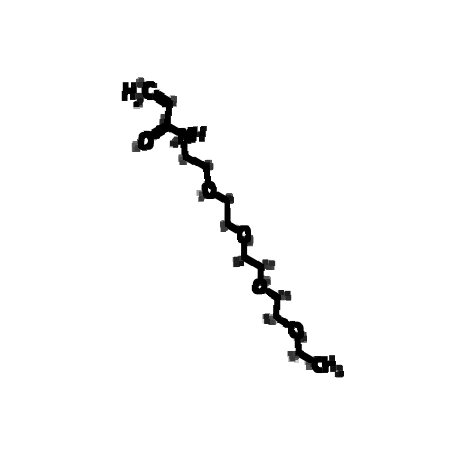 C=CC(=O)NCCOCCOCCOCCOCC